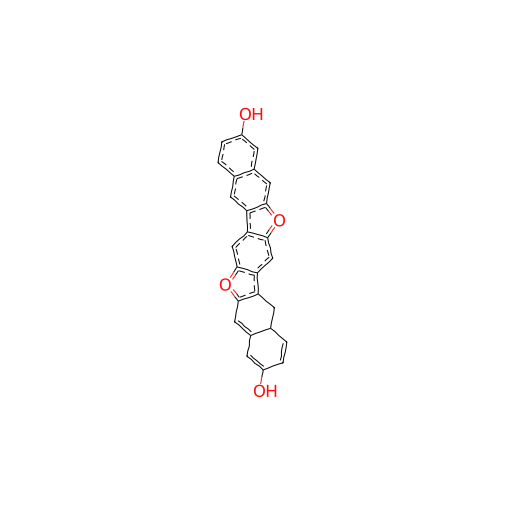 OC1=CC2=Cc3oc4cc5c(cc4c3CC2C=C1)oc1cc2cc(O)ccc2cc15